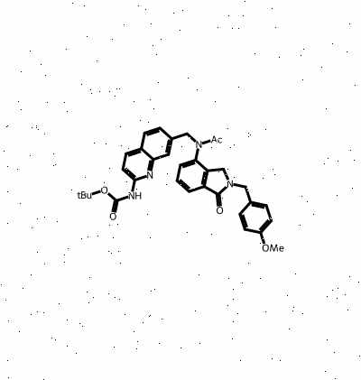 COc1ccc(CN2Cc3c(cccc3N(Cc3ccc4ccc(NC(=O)OC(C)(C)C)nc4c3)C(C)=O)C2=O)cc1